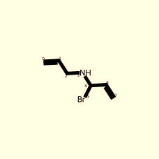 C=CCNC(Br)C=C